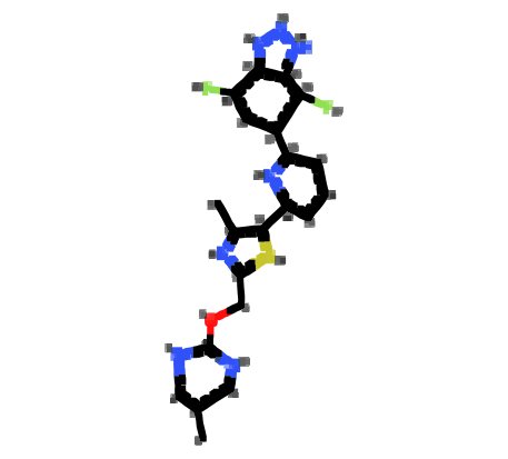 Cc1cnc(OCc2nc(C)c(-c3cccc(-c4cc(F)c5nn[nH]c5c4F)n3)s2)nc1